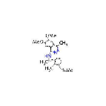 CNCc1cccc([C@@H](C)Nc2nnc(C)c3cc(OC)c(OC)cc23)c1C